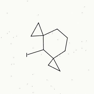 IC1C2(CCCC13CC3)CC2